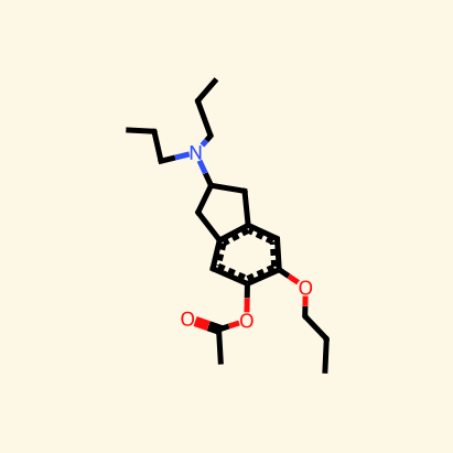 CCCOc1cc2c(cc1OC(C)=O)CC(N(CCC)CCC)C2